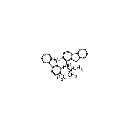 Cc1ccc2c([c]1[Hf]([c]1c(C)ccc3c1Cc1ccccc1-3)[SiH](C)C)Cc1ccccc1-2